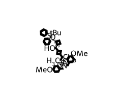 COc1ccc(CN(Cc2ccc(OC)cc2)S(=O)(=O)C(C)C(C)C2C=C(C(O)[C@@H]3CC[C@H]3CO[Si](c3ccccc3)(c3ccccc3)C(C)(C)C)C2)cc1